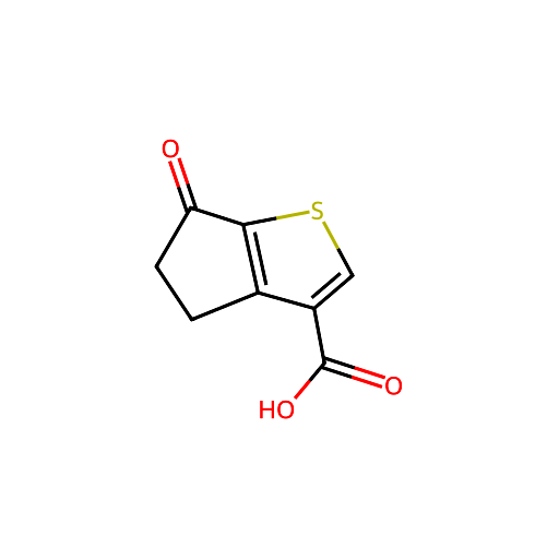 O=C(O)c1csc2c1CCC2=O